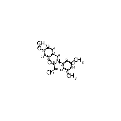 COc1ccc(CN(C(=O)CCl)c2cc(C)cc(C)c2)cc1